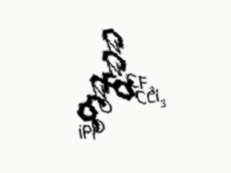 CC(C)Oc1cccc(CC(=O)N2CCC(CCN3CCC(N4CCCCC4)CC3)(c3ccc(C(Cl)(Cl)Cl)c(C(F)(F)F)c3)C2)c1